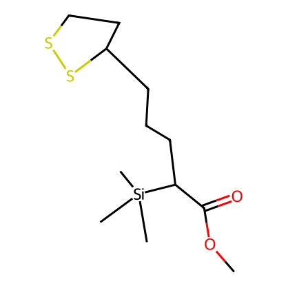 COC(=O)C(CCCC1CCSS1)[Si](C)(C)C